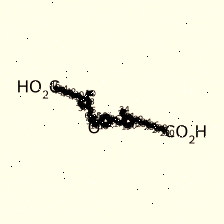 C=Cc1cc(CCC(C)(C)C(=O)c2ccc(CCc3ccc(CCCCCCCCC(=O)O)cc3C=C)cc2)ccc1CCCCCCC(=O)O